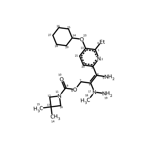 CCc1nc(/C(N)=C(\COC(=O)N2CC(C)(C)C2)N(C)N)ccc1OC1CCCCC1